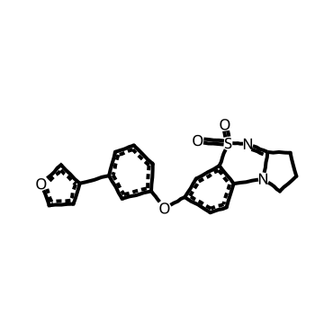 O=S1(=O)N=C2CCCN2c2ccc(Oc3cccc(-c4ccoc4)c3)cc21